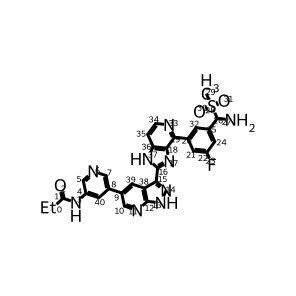 CCC(=O)Nc1cncc(-c2cnc3[nH]nc(-c4nc5c(-c6cc(F)cc(C(N)S(C)(=O)=O)c6)nccc5[nH]4)c3c2)c1